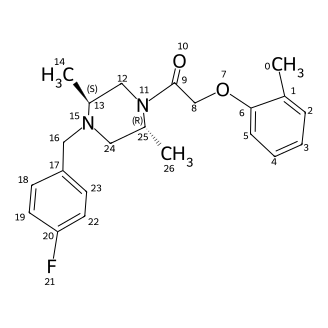 Cc1ccccc1OCC(=O)N1C[C@H](C)N(Cc2ccc(F)cc2)C[C@H]1C